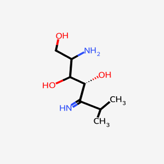 CC(C)C(=N)[C@@H](O)C(O)C(N)CO